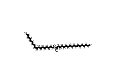 CCCCCCC=CCCCCCCCCCC(=O)OCCCCCCCC/C=C\CCCCCCCC